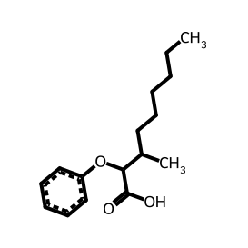 CCCCCCC(C)C(Oc1ccccc1)C(=O)O